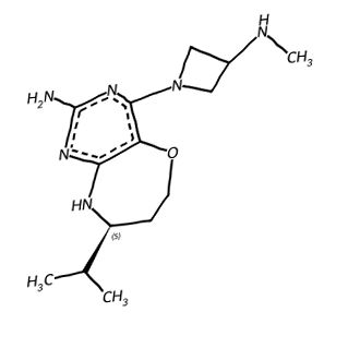 CNC1CN(c2nc(N)nc3c2OCC[C@@H](C(C)C)N3)C1